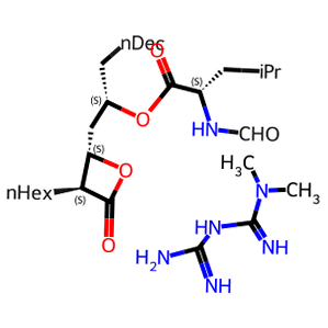 CCCCCCCCCCC[C@@H](C[C@@H]1OC(=O)[C@H]1CCCCCC)OC(=O)[C@H](CC(C)C)NC=O.CN(C)C(=N)NC(=N)N